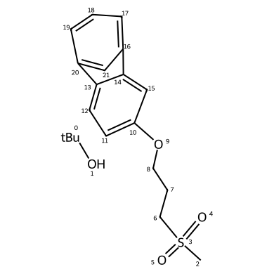 CC(C)(C)O.CS(=O)(=O)CCCOc1ccc2c(c1)-c1cccc-2c1